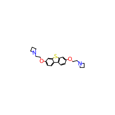 c1cc2c(cc1OCCN1CCC1)sc1cc(OCCN3CCC3)ccc12